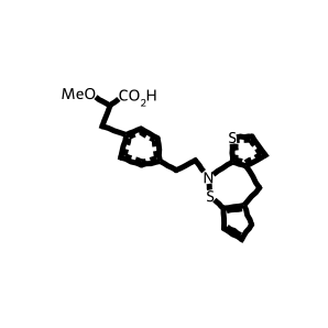 COC(Cc1ccc(CCN2SC3=C(CC=C3)Cc3ccsc32)cc1)C(=O)O